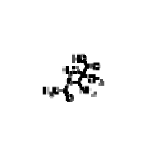 CC(=O)SC(N)C(C)(C)C(=O)O